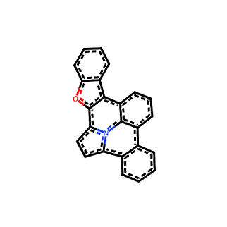 c1ccc2c(c1)oc1c2c2cccc3c4ccccc4c4ccc1n4c32